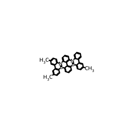 Cc1ccc2c(c1)-c1ccccc1N1B2c2cccc3c2-c2c1cccc2N1B3c2ccc(C)cc2-c2cc(C)ccc21